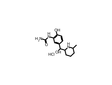 CC1CCCC(C(O)c2ccc(O)c(NC(N)=O)c2)N1.Cl